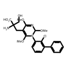 COC1=NC(OC)N(c2cccc(-c3ccccc3)c2Cl)C(OC)=C1CC(N)(CO)C(=O)O